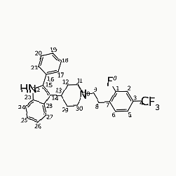 Fc1cc(C(F)(F)F)ccc1CCN1CCC(c2c(-c3ccccc3)[nH]c3ccccc23)CC1